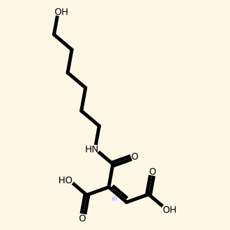 O=C(O)/C=C(/C(=O)O)C(=O)NCCCCCCO